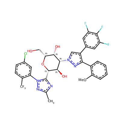 COc1ccccc1-c1nn([C@H]2[C@@H](O)[C@@H](CO)O[C@@H](c3nc(C)nn3-c3cc(Cl)ccc3C(F)(F)F)[C@@H]2O)cc1-c1cc(F)c(F)c(F)c1